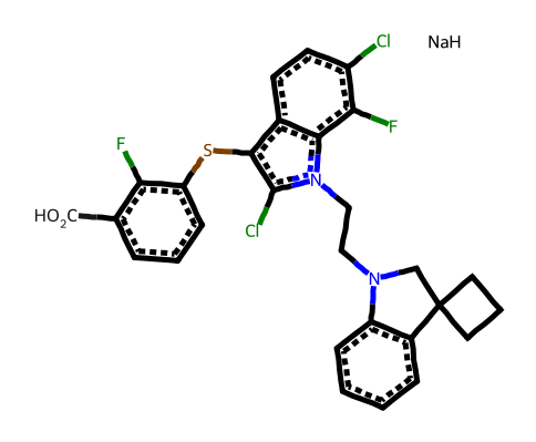 O=C(O)c1cccc(Sc2c(Cl)n(CCN3CC4(CCC4)c4ccccc43)c3c(F)c(Cl)ccc23)c1F.[NaH]